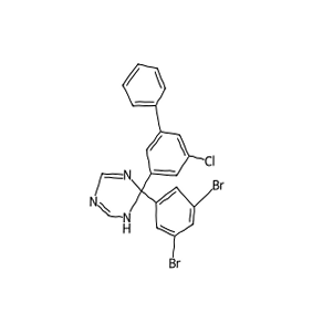 Clc1cc(-c2ccccc2)cc(C2(c3cc(Br)cc(Br)c3)N=CN=CN2)c1